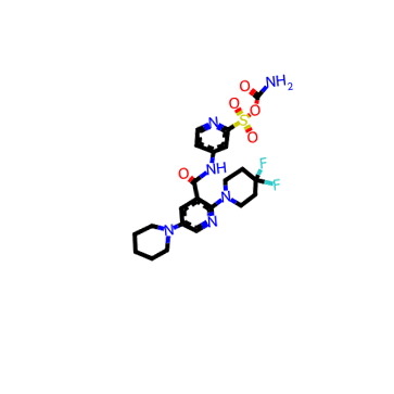 NC(=O)OS(=O)(=O)c1cc(NC(=O)c2cc(N3CCCCC3)cnc2N2CCC(F)(F)CC2)ccn1